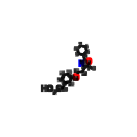 Cc1oc(C2CCCCC2)nc1CCOc1cccc(CC(=O)O)c1